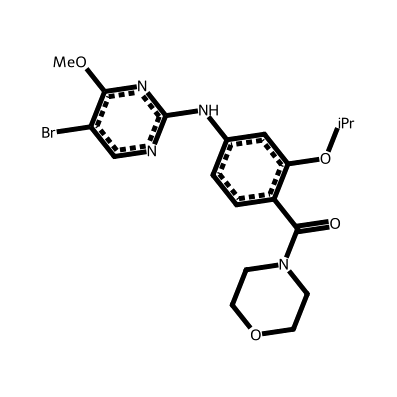 COc1nc(Nc2ccc(C(=O)N3CCOCC3)c(OC(C)C)c2)ncc1Br